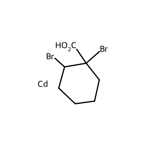 O=C(O)C1(Br)CCCCC1Br.[Cd]